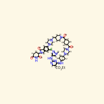 CCOC(=O)c1cnc(Nc2cnn(C)c2)nc1NC1CCC(N2CCN(C(=O)C3CCC(C(=O)N4CCC(CN5CCN(c6cc7c(cc6F)CN(C6CCC(=O)NC6=O)C7=O)CC5)CC4)CC3)CC2)CC1